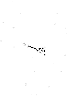 CCCCCCCCCCCC1=NNC(=O)C1